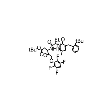 CCC(C(=O)NC(CC(=O)OC(C)(C)C)C(=O)COc1c(F)c(F)cc(F)c1F)n1nc(C)cc(Cc2ccccc2C(C)(C)C)c1=O